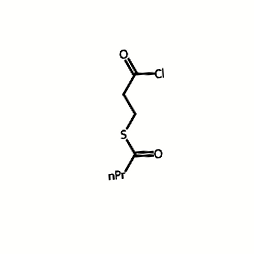 CCCC(=O)SCCC(=O)Cl